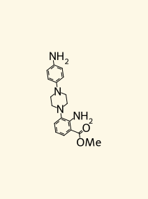 COC(=O)c1cccc(N2CCN(c3ccc(N)cc3)CC2)c1N